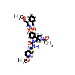 COCCCN(Cc1ccccc1)S(=O)(=O)c1ccc2c(c1)C1(CCN(C(C)=O)C1)CN2C(=O)Nc1nc2ccc(OC)nc2s1